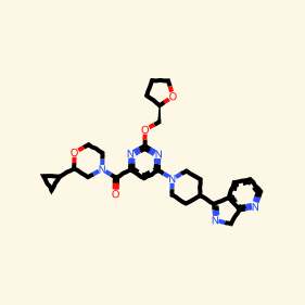 O=C(c1cc(N2CCC(C3=NCc4ncccc43)CC2)nc(OC[C@H]2CCCO2)n1)N1CCOC(C2CC2)C1